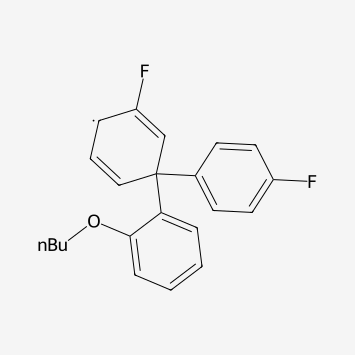 CCCCOc1ccccc1C1(c2ccc(F)cc2)C=C[CH]C(F)=C1